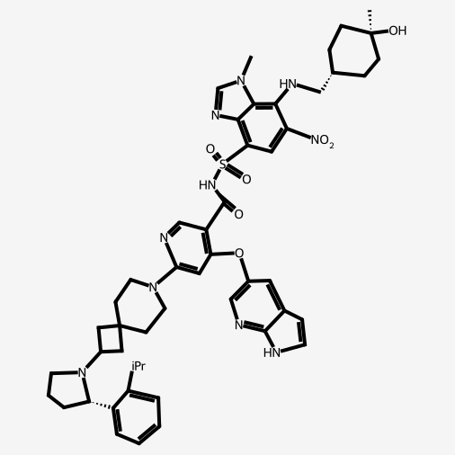 CC(C)c1ccccc1[C@@H]1CCCN1C1CC2(CCN(c3cc(Oc4cnc5[nH]ccc5c4)c(C(=O)NS(=O)(=O)c4cc([N+](=O)[O-])c(NC[C@H]5CC[C@](C)(O)CC5)c5c4ncn5C)cn3)CC2)C1